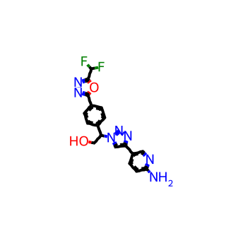 Nc1ccc(-c2cn(C(CO)c3ccc(-c4nnc(C(F)F)o4)cc3)nn2)cn1